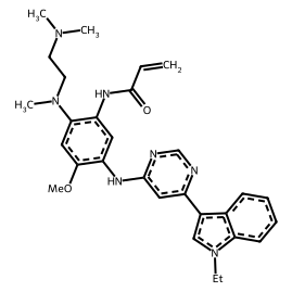 C=CC(=O)Nc1cc(Nc2cc(-c3cn(CC)c4ccccc34)ncn2)c(OC)cc1N(C)CCN(C)C